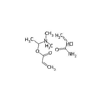 C=CC(=O)OC(C)N(C)C.C=CC(N)=O.Cl